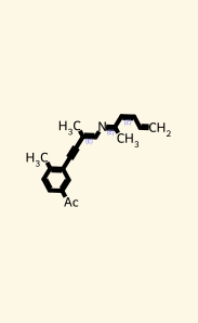 C=C\C=C/C(C)=N/C=C(\C)C#Cc1cc(C(C)=O)ccc1C